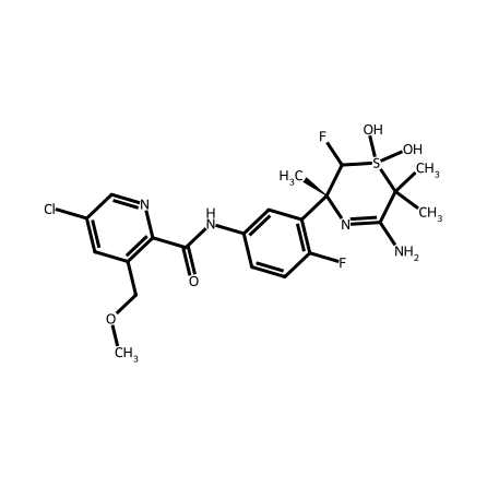 COCc1cc(Cl)cnc1C(=O)Nc1ccc(F)c([C@@]2(C)N=C(N)C(C)(C)S(O)(O)C2F)c1